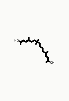 C/C(O)=C\C=C(/C)CCCCC(C)(C)CC/C(C)=C/C=C(\C)O